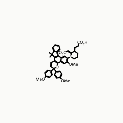 COc1ccc(C2(c3ccc(OC)cc3)C=Cc3c4c(c5cc(N6CCCC(CCC(=O)O)/C6=C/C(=O)O)c(OC)cc5c3O2)-c2ccccc2C4(C)C)cc1